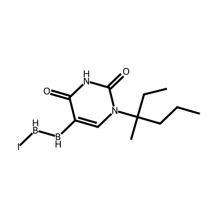 CCCC(C)(CC)n1cc(BBI)c(=O)[nH]c1=O